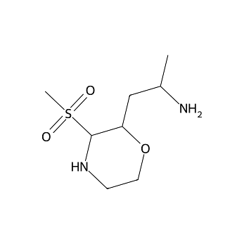 CC(N)CC1OCCNC1S(C)(=O)=O